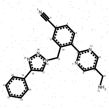 N#Cc1ccc(-c2ncc(CN)cn2)c(Cn2cc(-c3ccccc3)nn2)c1